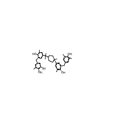 Cc1cc(Cc2cc(C3(C)CCC(C(C)(C)c4cc(C)c(O)c(Cc5cc(C)c(O)c(S)c5)c4)CC3)cc(C)c2O)cc(C)c1O